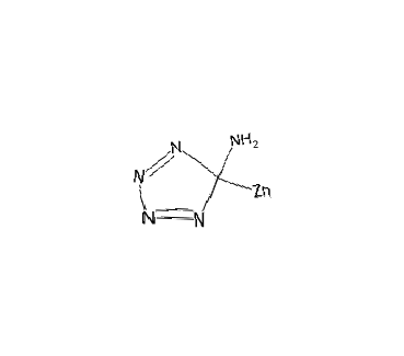 N[C]1([Zn])N=NN=N1